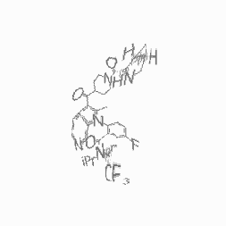 Cc1c(C(=O)C2CCN(C(=O)[C@H]3NC[C@@H]4C[C@@H]43)CC2)c2ccncc2n1-c1ccc(F)cc1C(=O)N(C(C)C)[C@H](C)C(F)(F)F